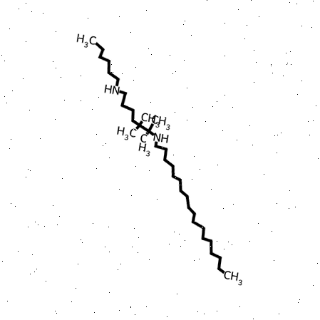 CCCCCCCCCCCCCCCCCCNC(C)(C)C(C)(C)CCCCNCCCCCC